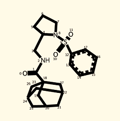 O=C(NCC1CCCN1S(=O)(=O)c1ccccc1)C12CC3CC(CC(C3)C1)C2